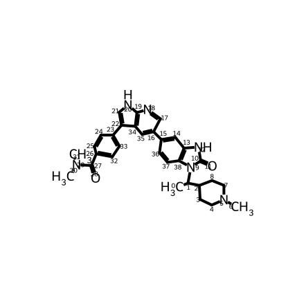 CC(C1CCN(C)CC1)n1c(=O)[nH]c2cc(-c3cnc4[nH]cc(-c5ccc(C(=O)N(C)C)cc5)c4c3)ccc21